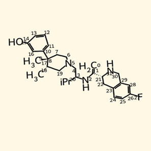 C=C(N[C@H](CN1CC[C@@](C)(c2cccc(O)c2)[C@@H](C)C1)C(C)C)[C@H]1Cc2ccc(F)cc2CN1